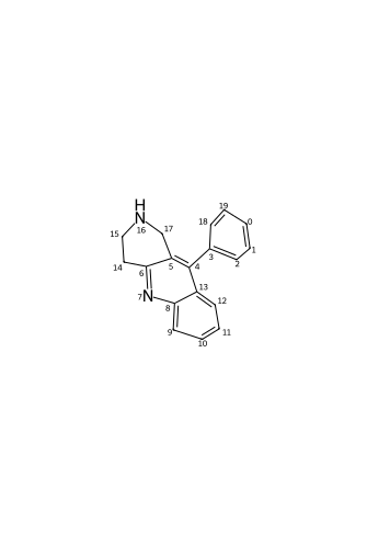 c1ccc(-c2c3c(nc4ccccc24)CCNC3)cc1